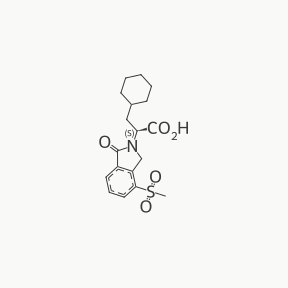 CS(=O)(=O)c1cccc2c1CN([C@@H](CC1CCCCC1)C(=O)O)C2=O